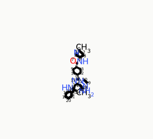 Cc1ccc(NC(=O)[C@H]2CC[C@H](c3nc(-c4[nH]c5ccccc5c4C)c4c(N)nccn43)CC2)cn1